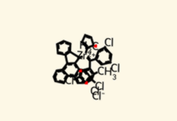 Cc1c(Cl)cc(Cl)cc1[C](c1cc(Cl)cc(Cl)c1C)=[Zr+2]([C]1=CC=CC1)[CH]1c2ccccc2-c2c1c1ccccc1c1ccccc21.[Cl-].[Cl-]